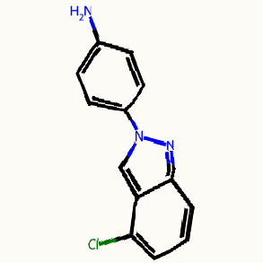 Nc1ccc(-n2cc3c(Cl)cccc3n2)cc1